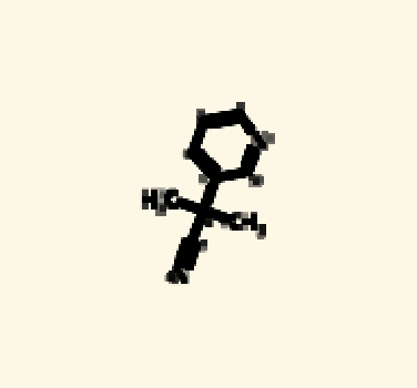 CC(C)(C#N)c1cccnc1